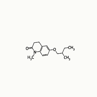 CCC(C)COc1ccc2c(c1)CCC(=O)N2C